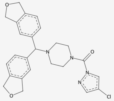 O=C(N1CCN(C(c2ccc3c(c2)COC3)c2ccc3c(c2)COC3)CC1)n1cc(Cl)cn1